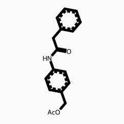 CC(=O)OCc1ccc(NC(=O)Cc2ccccc2)cc1